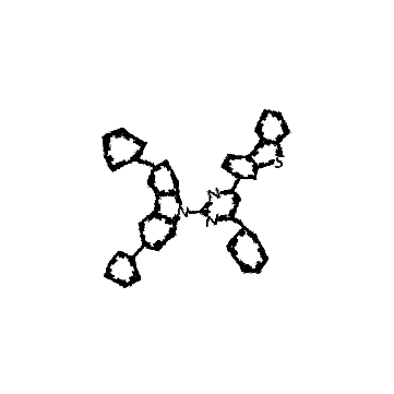 c1ccc(-c2ccc3c(c2)c2cc(-c4ccccc4)ccc2n3-c2nc(-c3ccccc3)cc(-c3ccc4c(c3)sc3ccccc34)n2)cc1